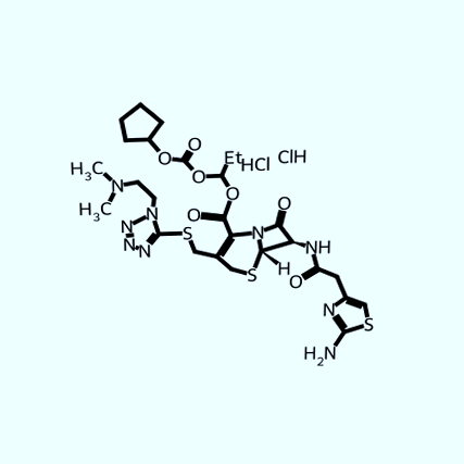 CCC(OC(=O)OC1CCCC1)OC(=O)C1=C(CSc2nnnn2CCN(C)C)CS[C@H]2[C@H](NC(=O)Cc3csc(N)n3)C(=O)N12.Cl.Cl